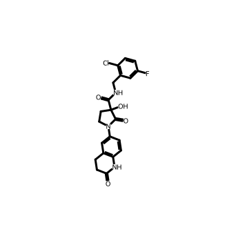 O=C1CCc2cc(N3CCC(O)(C(=O)NCc4cc(F)ccc4Cl)C3=O)ccc2N1